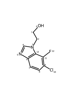 OCCn1cnc2ccc(Cl)c(F)c21